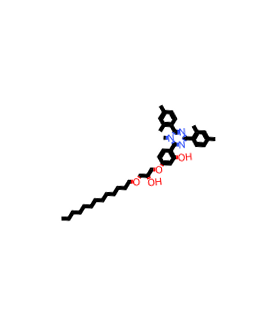 CCCCCCCCCCCCCOCC(O)COc1ccc(C2N=C(c3ccc(C)cc3C)N=C(c3ccc(C)cc3C)N2C)c(O)c1